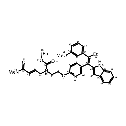 CC/C(=C(/c1ccc(OCCN(C/C=C/C(=O)NC)C(=O)OC(C)(C)C)nc1)c1cc2ccccc2[nH]1)c1cccc(OC)c1